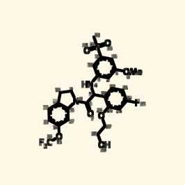 COc1cc(NC(C(=O)N2CCc3ccc(OC(F)(F)F)cc32)c2ccc(F)cc2OCCO)cc(S(C)(=O)=O)c1